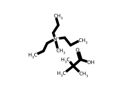 CC(C)(C)C(=O)O.CCC[N+](C)(CCC)CCC